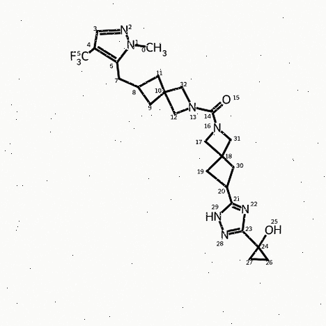 Cn1ncc(C(F)(F)F)c1CC1CC2(C1)CN(C(=O)N1CC3(CC(c4nc(C5(O)CC5)n[nH]4)C3)C1)C2